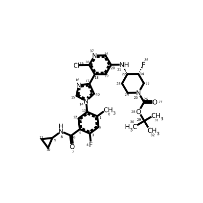 Cc1cc(F)c(C(=O)NC2CC2)cc1-n1cnc(-c2cc(N[C@H]3CCN(C(=O)OC(C)(C)C)C[C@H]3F)cnc2Cl)c1